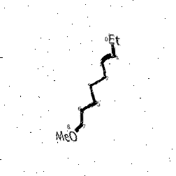 CCC=CCCCCCOC